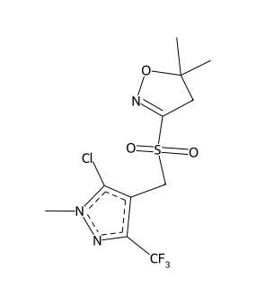 Cn1nc(C(F)(F)F)c(CS(=O)(=O)C2=NOC(C)(C)C2)c1Cl